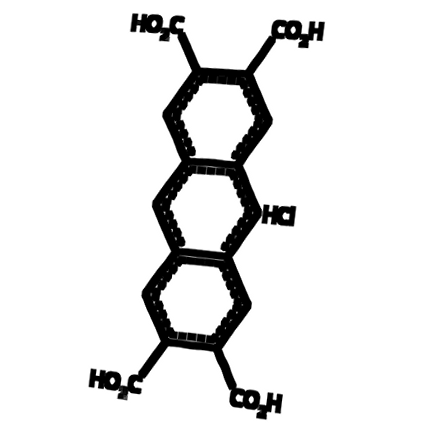 Cl.O=C(O)c1cc2cc3cc(C(=O)O)c(C(=O)O)cc3cc2cc1C(=O)O